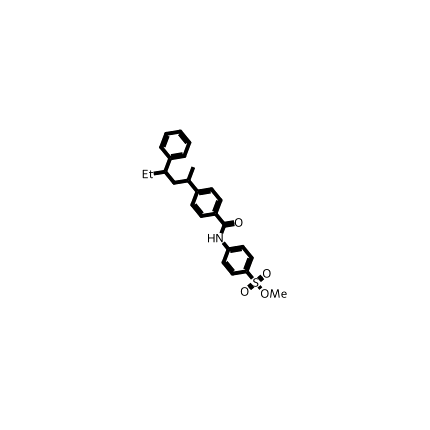 CCC(CC(C)c1ccc(C(=O)Nc2ccc(S(=O)(=O)OC)cc2)cc1)c1ccccc1